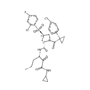 CCCC(NC(=O)[C@@H]1C[C@@H](S(=O)(=O)c2ccc(F)cc2Cl)CN1C(=O)C1(c2ccc(Cl)cc2)CC1)C(=O)C(=O)NC1CC1